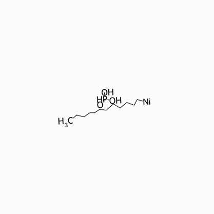 CCCCCCCCCCC[CH2][Ni].O=[PH](O)O